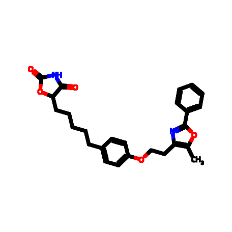 Cc1oc(-c2ccccc2)nc1CCOc1ccc(CCCCCC2OC(=O)NC2=O)cc1